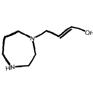 OC=CCN1CCCNCC1